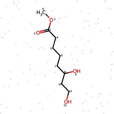 COC(=O)CCCCC(O)CCO